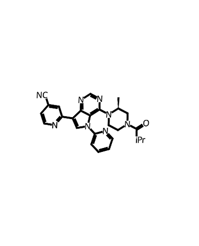 CC(C)C(=O)N1CCN(c2ncnc3c(-c4cc(C#N)ccn4)cn(-c4ccccn4)c23)[C@@H](C)C1